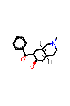 CN1CC[C@H]2CC(=O)C(C(=O)c3ccccc3)C[C@H]2C1